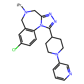 CC(C)N1Cc2cc(Cl)ccc2-n2c(nnc2C2CCN(c3cccnc3)CC2)C1